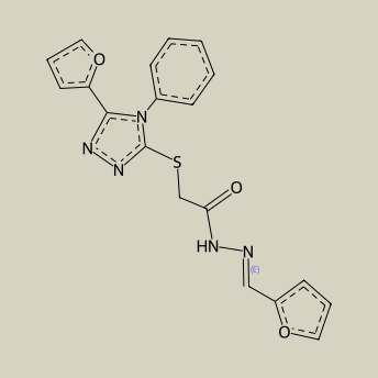 O=C(CSc1nnc(-c2ccco2)n1-c1ccccc1)N/N=C/c1ccco1